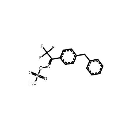 CS(=O)(=O)ON=C(c1ccc(Cc2ccccc2)cc1)C(F)(F)F